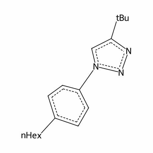 CCCCCCc1ccc(-n2cc(C(C)(C)C)nn2)cc1